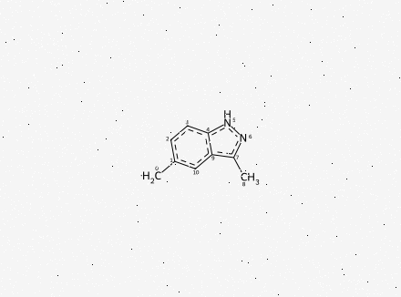 [CH2]c1ccc2[nH]nc(C)c2c1